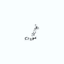 [Co].[LiH].[O]=[Sn]